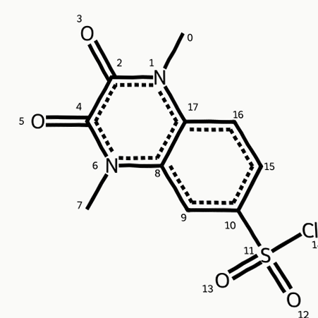 Cn1c(=O)c(=O)n(C)c2cc(S(=O)(=O)Cl)ccc21